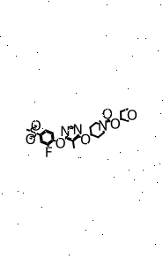 Cc1c(Oc2ccc(S(C)(=O)=O)cc2F)ncnc1OC1CCN(C(=O)O[C@@H]2CCOC2)CC1